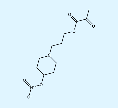 CC(=O)C(=O)OCCCN1CCC(O[N+](=O)[O-])CC1